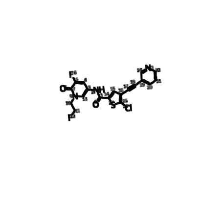 O=C(Nc1cc(F)c(=O)n(CCF)c1)c1cc(C#Cc2cccnc2)c(Cl)s1